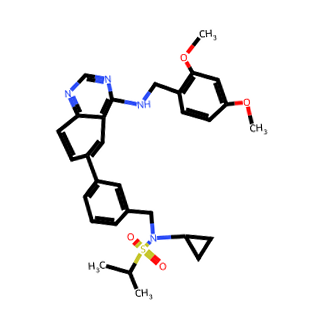 COc1ccc(CNc2ncnc3ccc(-c4cccc(CN(C5CC5)S(=O)(=O)C(C)C)c4)cc23)c(OC)c1